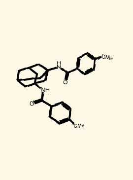 COC1=CCC(C(=O)NC23CC4CC(CC(NC(=O)c5ccc(OC)cc5)(C4)C2)C3)C=C1